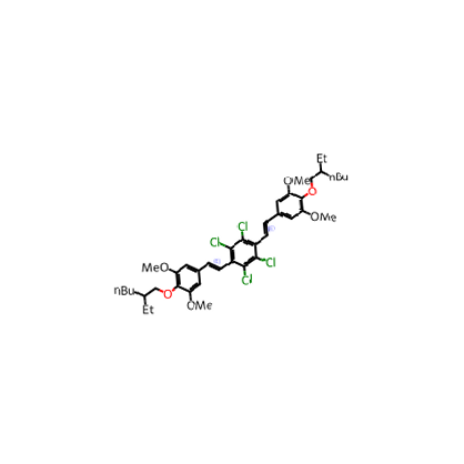 CCCCC(CC)COc1c(OC)cc(/C=C/c2c(Cl)c(Cl)c(/C=C/c3cc(OC)c(OCC(CC)CCCC)c(OC)c3)c(Cl)c2Cl)cc1OC